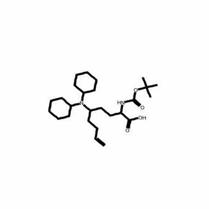 C=CCCC(CCC(NC(=O)OC(C)(C)C)C(=O)O)N(C1CCCCC1)C1CCCCC1